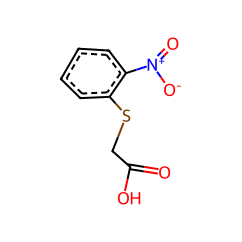 O=C(O)CSc1ccccc1[N+](=O)[O-]